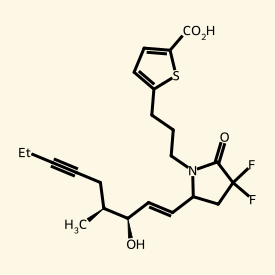 CCC#CC[C@H](C)[C@H](O)C=CC1CC(F)(F)C(=O)N1CCCc1ccc(C(=O)O)s1